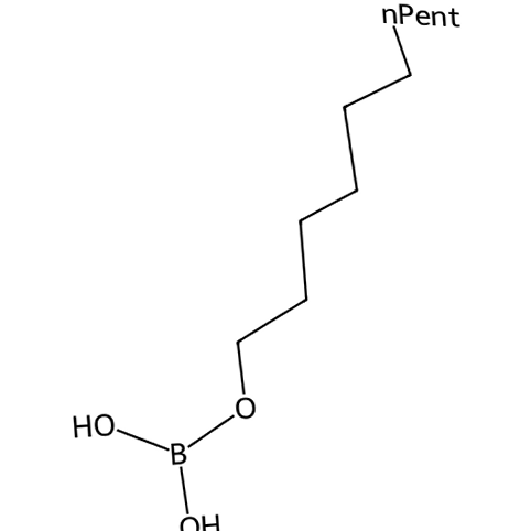 CCCCCCCCCCCOB(O)O